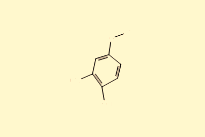 CCCOc1ccc(O)c(C(C)(C)C)c1